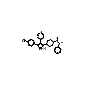 C[C@@H](NC1CCC(c2[nH]nc(-c3ccc(Cl)cc3)c2-c2ccncn2)CC1)c1ccccc1